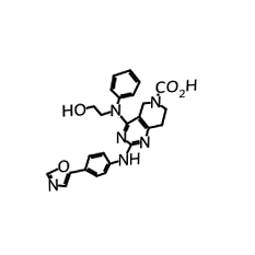 O=C(O)N1CCc2nc(Nc3ccc(-c4cnco4)cc3)nc(N(CCO)c3ccccc3)c2C1